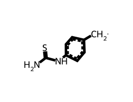 [CH2]c1ccc(NC(N)=S)cc1